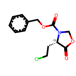 O=C1OCN(C(=O)OCc2ccccc2)[C@H]1CCCl